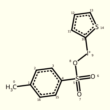 Cc1ccc(S(=O)(=O)O[I+]c2cccs2)cc1